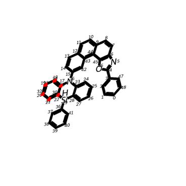 c1ccc(-c2nc3ccc4ccc5ccc(N(c6ccccc6)c6ccccc6[SiH](c6ccccc6)c6ccccc6)cc5c4c3o2)cc1